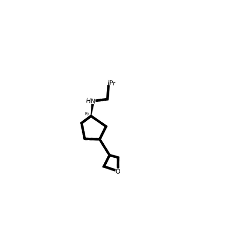 CC(C)CN[C@@H]1CCC(C2COC2)C1